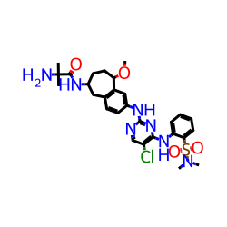 COC1CCC(NC(=O)C(C)(C)N)Cc2ccc(Nc3ncc(Cl)c(Nc4ccccc4S(=O)(=O)N(C)C)n3)cc21